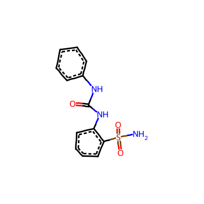 NS(=O)(=O)c1ccccc1NC(=O)Nc1ccccc1